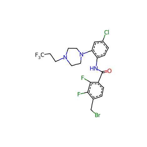 O=C(Nc1ccc(Cl)cc1N1CCN(CCC(F)(F)F)CC1)c1ccc(CBr)c(F)c1F